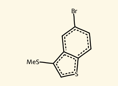 CSc1csc2ccc(Br)cc12